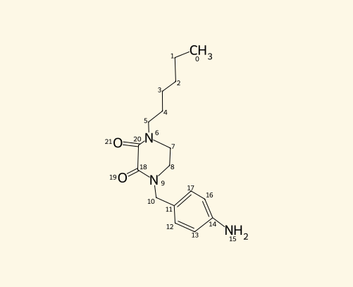 CCCCCCN1CCN(Cc2ccc(N)cc2)C(=O)C1=O